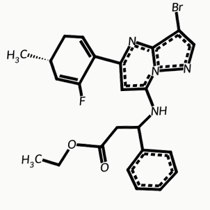 CCOC(=O)CC(Nc1cc(C2=CC[C@@H](C)C=C2F)nc2c(Br)cnn12)c1ccccc1